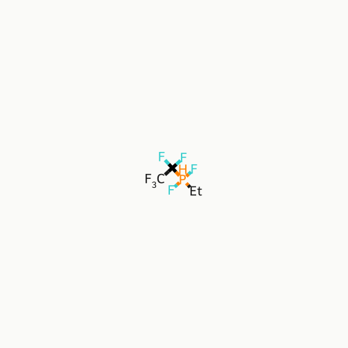 CC[PH](F)(F)C(F)(F)C(F)(F)F